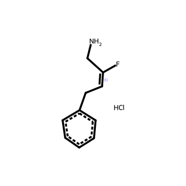 Cl.NC/C(F)=C\Cc1ccccc1